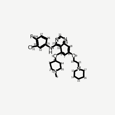 CN1CCC(Oc2cc(OCCN3CCCCC3)cc3ncnc(Nc4ccc(F)c(Cl)c4)c23)CC1